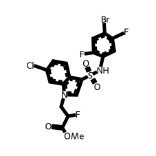 COC(=O)C(F)Cn1cc(S(=O)(=O)Nc2cc(F)c(Br)cc2F)c2ccc(Cl)cc21